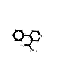 NC(=O)C1=C(c2ccccc2)CC=NC1